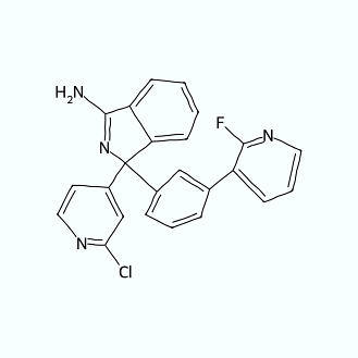 NC1=NC(c2cccc(-c3cccnc3F)c2)(c2ccnc(Cl)c2)c2ccccc21